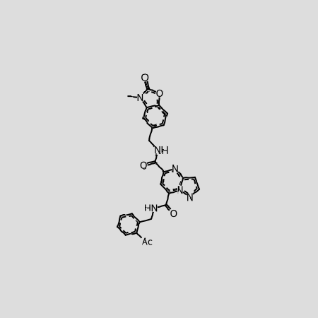 CC(=O)c1ccccc1CNC(=O)c1cc(C(=O)NCc2ccc3oc(=O)n(C)c3c2)nc2ccnn12